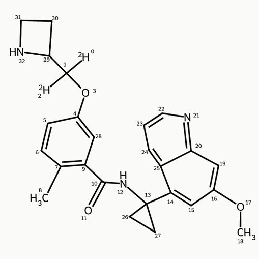 [2H]C([2H])(Oc1ccc(C)c(C(=O)NC2(c3cc(OC)cc4ncccc34)CC2)c1)C1CCN1